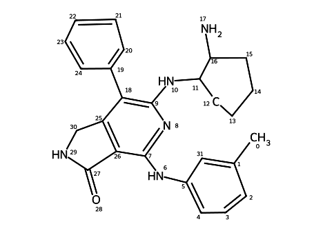 Cc1cccc(Nc2nc(NC3CCCCC3N)c(-c3ccccc3)c3c2C(=O)NC3)c1